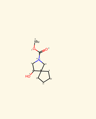 CC(C)(C)OC(=O)N1CC(O)C2(CCCC2)C1